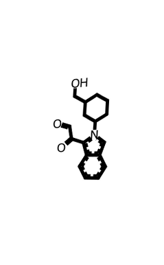 O=CC(=O)c1c2ccccc2cn1C1CCCC(CO)C1